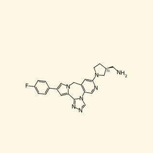 NC[C@@H]1CCN(c2cc3c(cn2)-n2cnnc2-c2cc(-c4ccc(F)cc4)cn2C3)C1